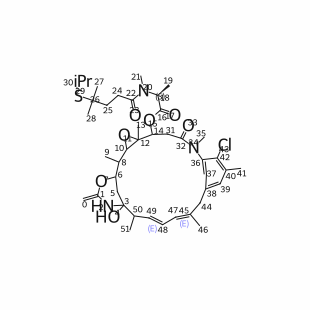 C=C1NC2(O)CC(O1)C(C)C1OC1(C)C(OC(=O)[C@H](C)N(C)C(=O)CCC(C)(C)SC(C)C)CC(=O)N(C)c1cc(cc(C)c1Cl)C/C(C)=C/C=C/C2C